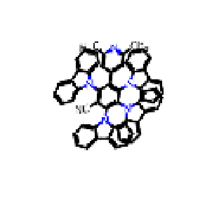 Cc1cc(-c2c(-n3c4ccccc4c4ccccc43)c(C#N)c(-n3c4ccccc4c4ccccc43)c(-n3c4ccccc4c4ccccc43)c2-n2c3ccccc3c3ccccc32)cc(C)n1